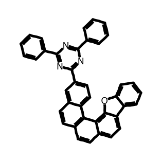 c1ccc(-c2nc(-c3ccccc3)nc(-c3ccc4c(ccc5ccc6ccc7c8ccccc8oc7c6c54)c3)n2)cc1